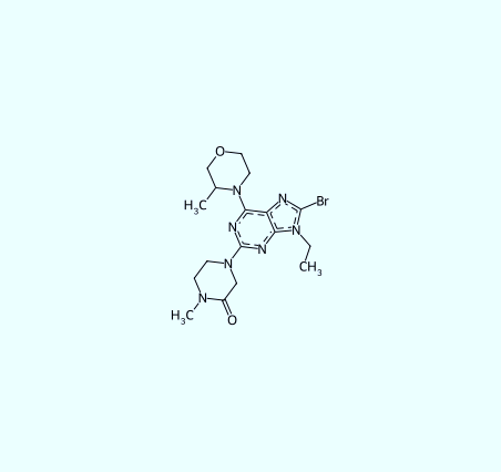 CCn1c(Br)nc2c(N3CCOCC3C)nc(N3CCN(C)C(=O)C3)nc21